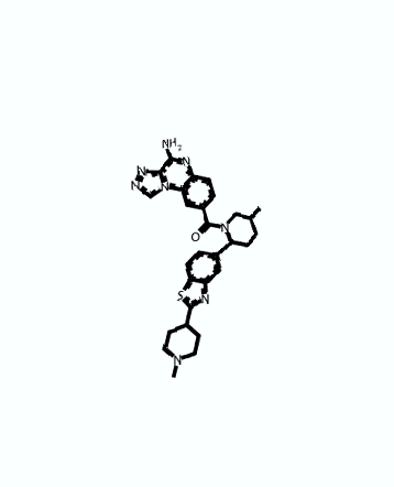 CC1CCC(c2ccc3sc(C4CCN(C)CC4)nc3c2)N(C(=O)c2ccc3nc(N)c4nncn4c3c2)C1